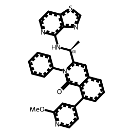 COc1cc(-c2cccc3cc([C@H](C)Nc4nccc5scnc45)n(-c4ccccc4)c(=O)c23)ccn1